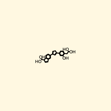 Oc1cc(C2=CC(c3ccc4c(c3)C=CC4C(O)O)=CC2)ccc1CC(O)O